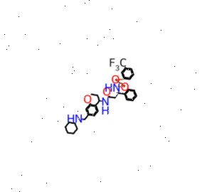 O=C(C[C@@H](NS(=O)(=O)c1cccc(C(F)(F)F)c1)c1ccccc1)N[C@@H]1CCOc2cc(CNC3CCCCC3)ccc21